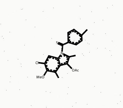 COc1c(Cl)cc2c(c1C)c(OC(C)=O)c(C)n2C(=S)c1ccc(C)cc1